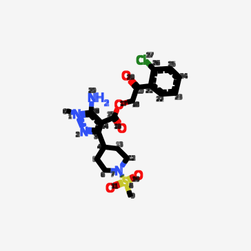 Cn1nc(C2CCN(S(C)(=O)=O)CC2)c(C(=O)OCC(=O)c2ccccc2Cl)c1N